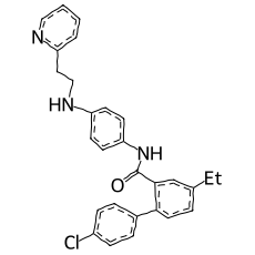 CCc1ccc(-c2ccc(Cl)cc2)c(C(=O)Nc2ccc(NCCc3ccccn3)cc2)c1